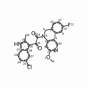 COc1cc(N(Cc2ccc(F)cc2)C(=O)C(=O)c2c(C)[nH]c3ccc(Cl)cc23)ccn1